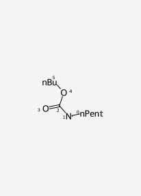 CCCCC[N]C(=O)OCCCC